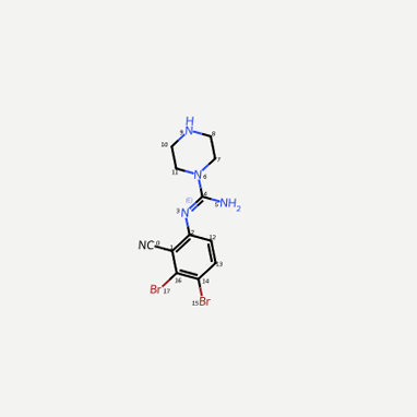 N#Cc1c(/N=C(\N)N2CCNCC2)ccc(Br)c1Br